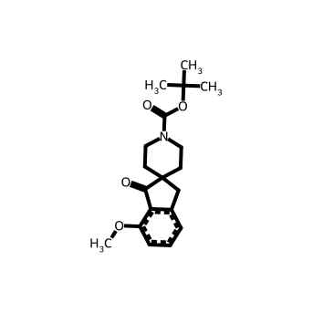 COc1cccc2c1C(=O)C1(CCN(C(=O)OC(C)(C)C)CC1)C2